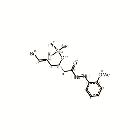 COc1ccccc1NNC(=O)C[C@H](CC=CBr)O[Si](C(C)C)(C(C)C)C(C)C